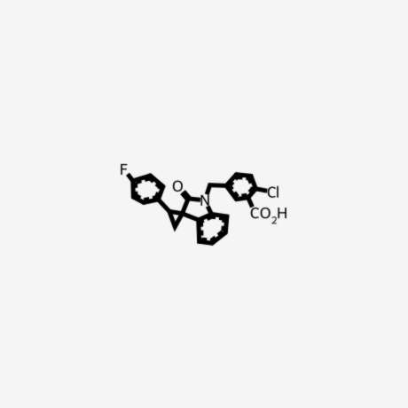 O=C(O)c1cc(CN2C(=O)C3(CC3c3ccc(F)cc3)c3ccccc32)ccc1Cl